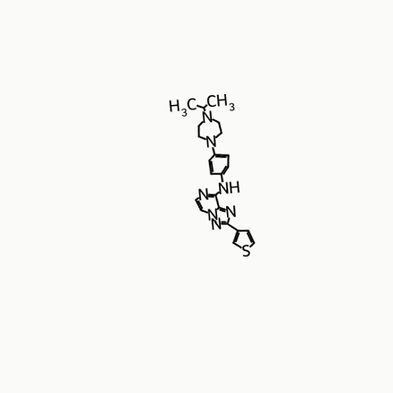 CC(C)N1CCN(c2ccc(Nc3nccn4nc(-c5ccsc5)nc34)cc2)CC1